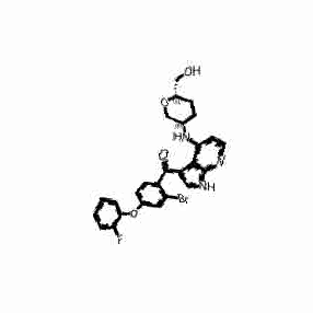 O=C(c1ccc(Oc2ccccc2F)cc1Br)c1c[nH]c2nccc(N[C@@H]3CC[C@@H](CO)OC3)c12